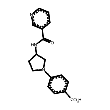 O=C(O)c1ccc(N2CCC(NC(=O)c3cccnc3)C2)cc1